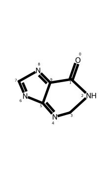 O=C1NCN=C2N=CN=C12